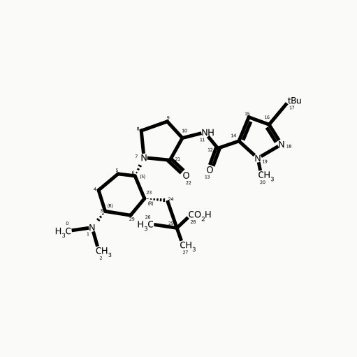 CN(C)[C@@H]1CC[C@H](N2CCC(NC(=O)c3cc(C(C)(C)C)nn3C)C2=O)[C@H](CC(C)(C)C(=O)O)C1